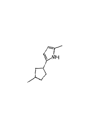 Cc1ccc(C2CCC(C)C2)[nH]1